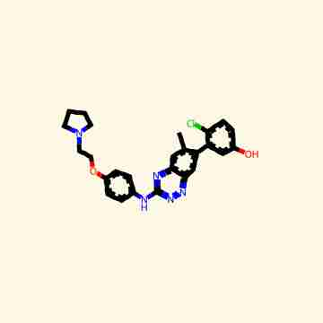 Cc1cc2nc(Nc3ccc(OCCN4CCCC4)cc3)nnc2cc1-c1cc(O)ccc1Cl